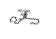 CC/C=C\C/C=C\C/C=C\C/C=C\C/C=C\C/C=C\CCC(=O)OC[C@H](COP(=O)(O)OC[C@H](N)C(=O)O)OC(=O)CCCCCCCCCCC/C=C\C/C=C\CCCCC